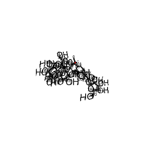 C=C1C[C@@]23CC[C@H]4[C@@](C)(CCC[C@@]4(C)C(=O)O[C@@H]4O[C@H](CO)[C@@H](O)[C@H](O)[C@H]4O)[C@@H]2CC[C@]1(O[C@@H]1O[C@H](CO)[C@@H](O)[C@H](O[C@@H]2O[C@H](CO)[C@@H](O)[C@H](O)[C@H]2O)[C@H]1O[C@@H]1O[C@H](CO)[C@@H](O)[C@H](O)[C@H]1O)C3